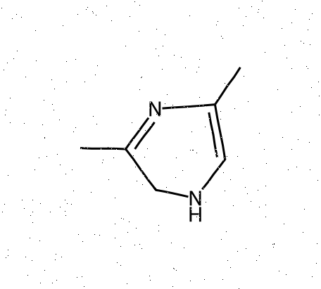 CC1=CNCC(C)=N1